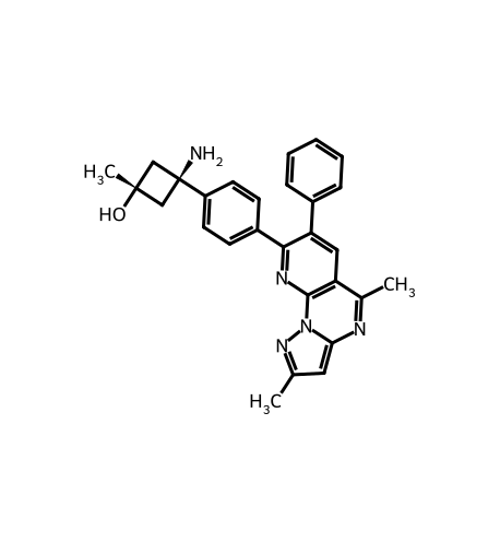 Cc1cc2nc(C)c3cc(-c4ccccc4)c(-c4ccc([C@]5(N)C[C@](C)(O)C5)cc4)nc3n2n1